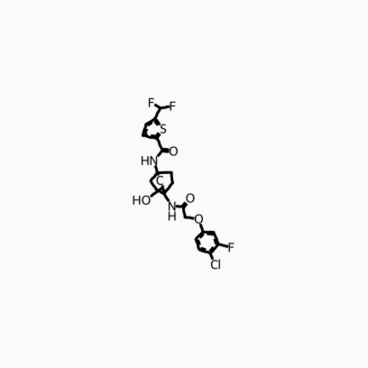 O=C(COc1ccc(Cl)c(F)c1)NC12CCC(NC(=O)c3ccc(C(F)F)s3)(CC1)CC2O